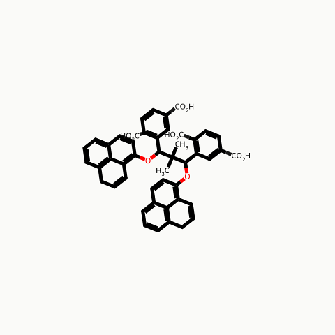 CC(C)(C(Oc1ccc2cccc3c2c1C=CC3)c1cc(C(=O)O)ccc1C(=O)O)C(Oc1ccc2cccc3c2c1C=CC3)c1cc(C(=O)O)ccc1C(=O)O